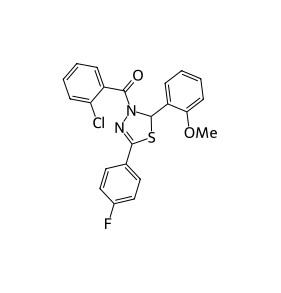 COc1ccccc1C1SC(c2ccc(F)cc2)=NN1C(=O)c1ccccc1Cl